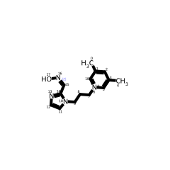 Cc1cc(C)c[n+](CCCn2ccnc2/C=N\O)c1